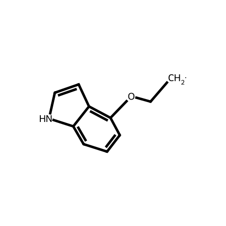 [CH2]COc1cccc2[nH]ccc12